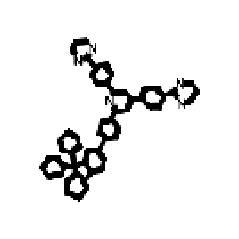 c1ccc(C2(c3ccccc3)c3ccccc3-c3ccc(-c4ccc(-c5cc(-c6ccc(-c7ncccn7)cc6)cc(-c6ccc(-c7ncccn7)cc6)n5)cc4)cc32)cc1